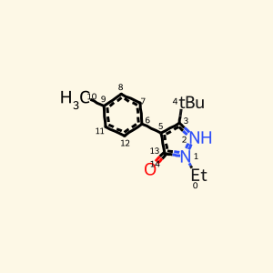 CCn1[nH]c(C(C)(C)C)c(-c2ccc(C)cc2)c1=O